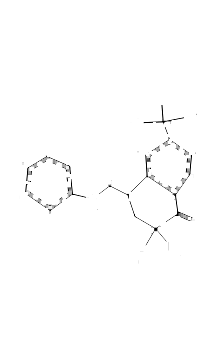 O=C1c2ccc(C(F)(F)F)cc2C(COc2ccccc2)CC1(F)F